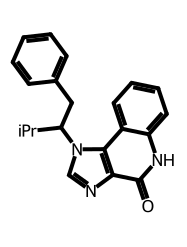 CC(C)C(Cc1ccccc1)n1cnc2c(=O)[nH]c3ccccc3c21